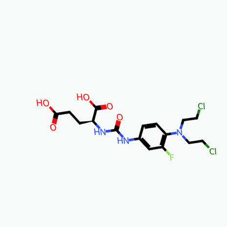 O=C(O)CC[C@H](NC(=O)Nc1ccc(N(CCCl)CCCl)c(F)c1)C(=O)O